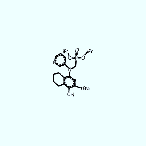 CC(C)OP(=O)(CN(c1cccnc1)c1cc(C(C)(C)C)c(O)c2c1CCCC2)OC(C)C